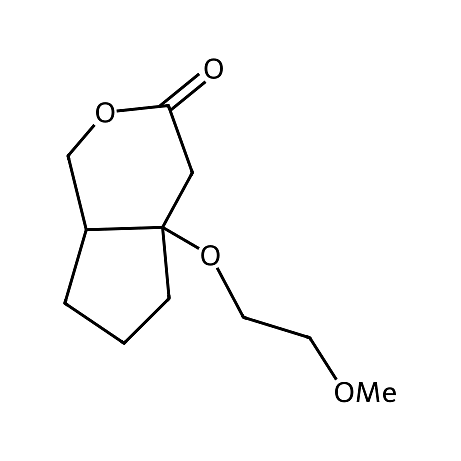 COCCOC12CCCC1COC(=O)C2